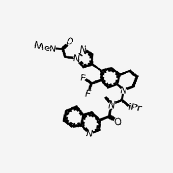 CNC(=O)Cn1cc(-c2cc3c(cc2C(F)F)N(C(C(C)C)N(C)C(=O)c2cnc4ccccc4c2)CCC3)cn1